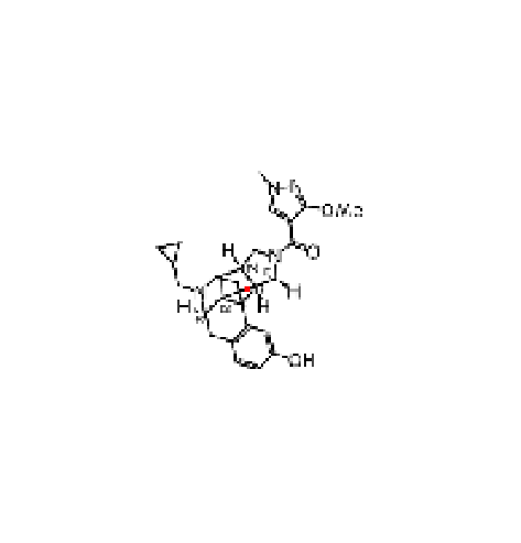 COc1nn(C)cc1C(=O)N1C[C@H]2C[C@@]34CC[C@@H]1[C@@H]2[C@@]31CCN(CC2CC2)[C@@H]4Cc2ccc(O)cc21